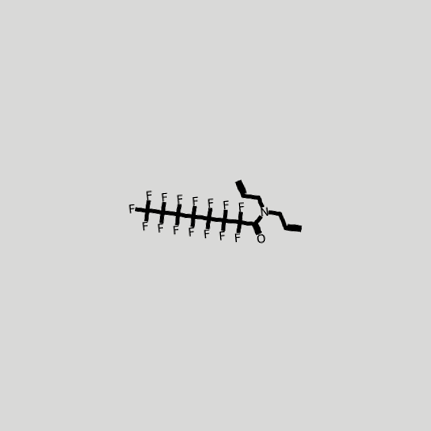 C=CCN(CC=C)C(=O)C(F)(F)C(F)(F)C(F)(F)C(F)(F)C(F)(F)C(F)(F)C(F)(F)F